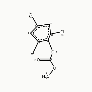 COC(=O)Oc1c(Cl)cc(Cl)cc1Cl